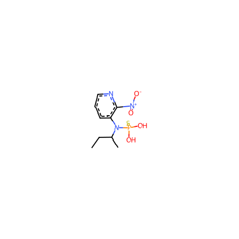 CCC(C)N(c1cccnc1[N+](=O)[O-])P(O)(O)=S